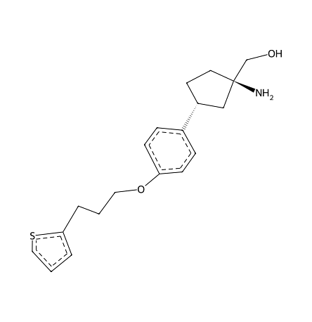 N[C@]1(CO)CC[C@@H](c2ccc(OCCCc3cccs3)cc2)C1